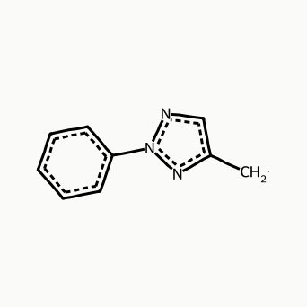 [CH2]c1cnn(-c2ccccc2)n1